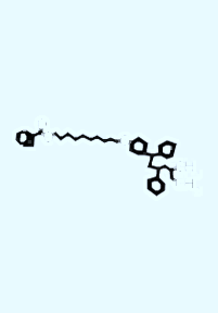 CCC(C)CC(CC(c1ccccc1)c1ccc(OCCCCCCCCCCOC(=O)C2CC3C=CC2C3)cc1)c1ccccc1